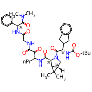 CCCC(NC(=O)[C@@H]1C2[C@H](CN1C(=O)[C@@H](NC(=O)OC(C)(C)C)C1Cc3ccccc3C1)C2(C)C)C(=O)C(=O)NCC(=O)N[C@H](C(=O)N(C)C)c1ccccc1